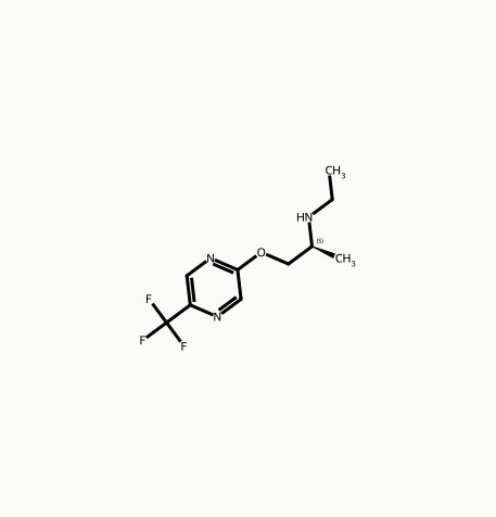 CCN[C@@H](C)COc1cnc(C(F)(F)F)cn1